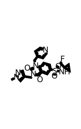 Cn1cc(Cn2c(=O)c3cc(S(=O)(=O)NC4(CF)CC4)ccc3n(Cc3ccncc3)c2=O)cn1